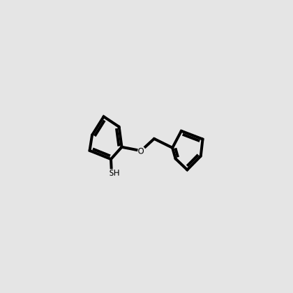 Sc1ccccc1OCc1ccccc1